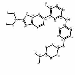 CCN(CC)c1nc2ccc(-c3nc(Nc4ccc(CN5CCN(C(C)C)CC5)cn4)ncc3F)cc2s1